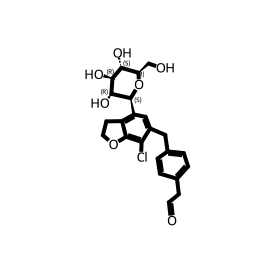 O=CCc1ccc(Cc2cc([C@@H]3O[C@H](CO)[C@@H](O)[C@H](O)[C@H]3O)c3c(c2Cl)OCC3)cc1